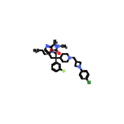 CCCC(CC(Cn1ccnc1C)(c1cccc(F)c1)C1CCN(CC2CN(c3ccc(Cl)cc3)C2)CC1)OC(=O)NC